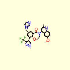 COc1ccc2nc(C)cc(N3CCOc4c(cc(Cn5ccnc5)cc4-c4cn(C)nc4C(F)(F)F)C3=O)c2c1